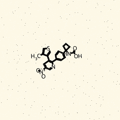 Cc1cscc1-c1cc([N+](=O)[O-])cnc1-c1ccc(C2(NC(=O)O)CCC2)cc1